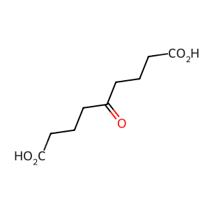 O=C(O)CCCC(=O)CCCC(=O)O